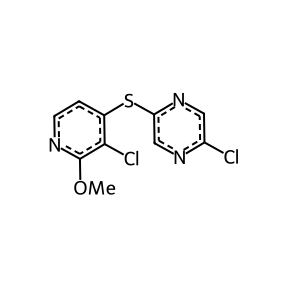 COc1nccc(Sc2cnc(Cl)cn2)c1Cl